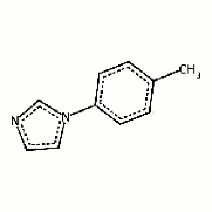 Cc1[c]cc(-n2ccnc2)cc1